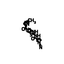 Cn1ccc(C(=O)N2CC3NC(NC(=O)[C@H]4CCN(C#N)C4)SC3C2)n1